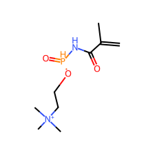 C=C(C)C(=O)N[PH](=O)OCC[N+](C)(C)C